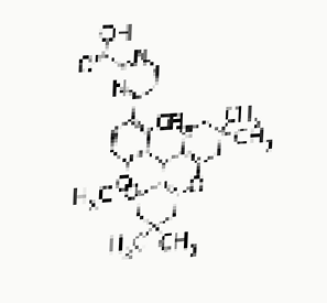 COc1ccc(-c2ccnc(C(=O)O)n2)c(C)c1C1C2=C(CC(C)(C)CC2=O)OC2=C1C(=O)CC(C)(C)C2